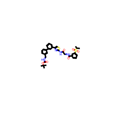 CC(C)S(=O)(=O)c1cccc(C(=O)NCC(=O)Nc2nc(-c3cccc(-c4cccc(CNC(=O)OC(C)(C)C)c4)c3)cs2)c1